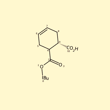 CC(C)(C)OC(=O)C1CC=CC[C@@H]1C(=O)O